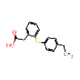 CCc1ccc(Sc2ccccc2CC(=O)O)cc1